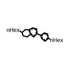 CCCCCCc1ccc(-c2ccc3c(c2)CCC(CCCCCC)C3)cc1